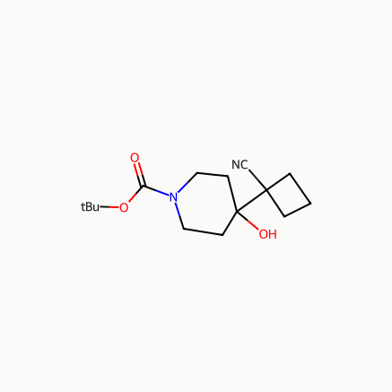 CC(C)(C)OC(=O)N1CCC(O)(C2(C#N)CCC2)CC1